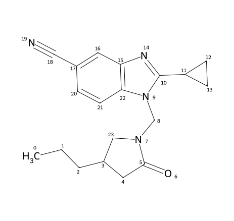 CCCC1CC(=O)N(Cn2c(C3CC3)nc3cc(C#N)ccc32)C1